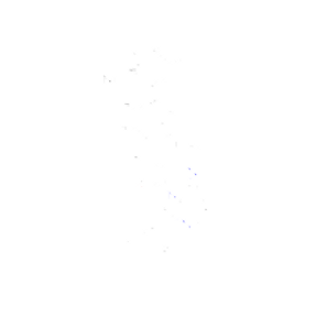 CCCCc1nc(C)n(-c2cc(C(F)(F)F)ccn2)c(=O)c1Cc1ccc(-c2ccccc2C#N)cc1